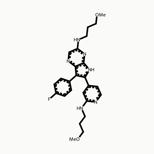 COCCCNc1cc(-c2[nH]c3nc(NCCCOC)cnc3c2-c2ccc(F)cc2)ccn1